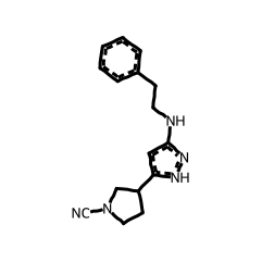 N#CN1CCC(c2cc(NCCc3ccccc3)n[nH]2)C1